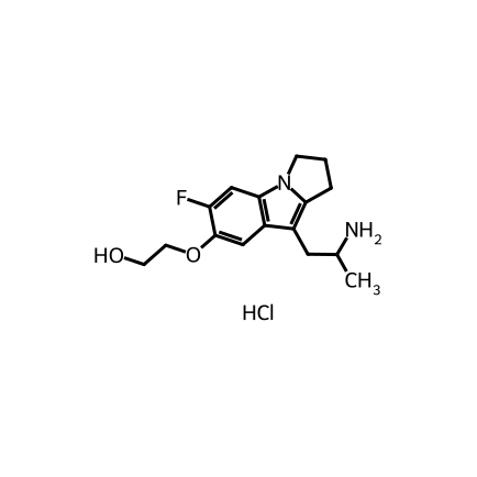 CC(N)Cc1c2n(c3cc(F)c(OCCO)cc13)CCC2.Cl